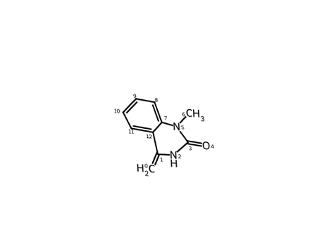 C=C1NC(=O)N(C)c2ccccc21